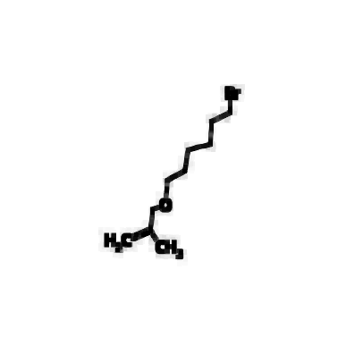 C=C(C)COCCCCCCBr